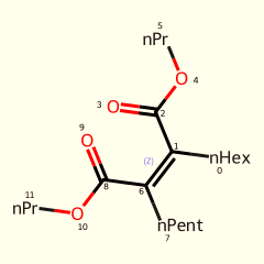 CCCCCC/C(C(=O)OCCC)=C(\CCCCC)C(=O)OCCC